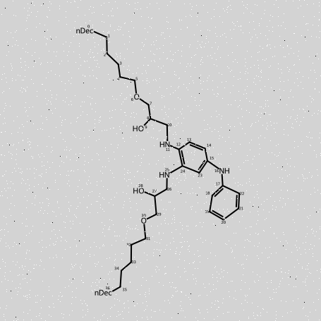 CCCCCCCCCCCCCCCOCC(O)CNc1ccc(Nc2ccccc2)cc1NCC(O)COCCCCCCCCCCCCCCC